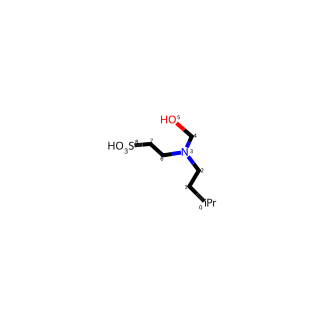 CC(C)CCN(CO)CCS(=O)(=O)O